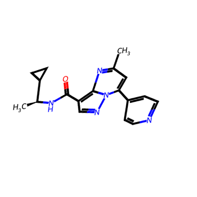 Cc1cc(-c2ccncc2)n2ncc(C(=O)N[C@@H](C)C3CC3)c2n1